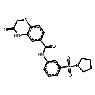 O=C1CSc2ccc(C(=O)Nc3cccc(S(=O)(=O)N4CCCC4)c3)cc2N1